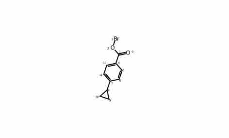 O=C(OBr)c1ccc(C2CC2)cc1